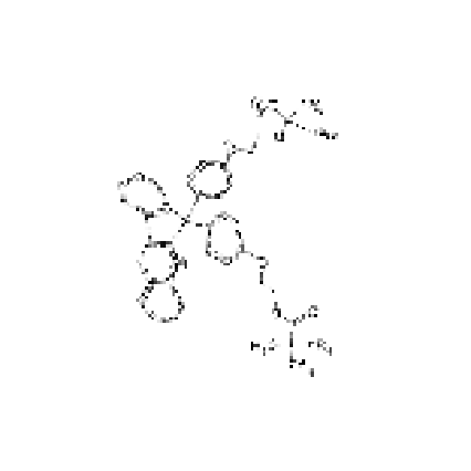 CCCCCCC(C)(C)OCCOc1ccc(C2(c3ccc(OCCOC(=O)C(C)(C)CCCC)cc3)c3ccccc3-c3nc4ccccc4nc32)cc1